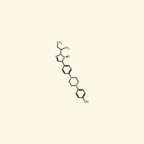 CCC(C)N1N=CC(c2ccc(N3CCN(c4ccc(O)cc4)CC3)cc2)[N+]1=O